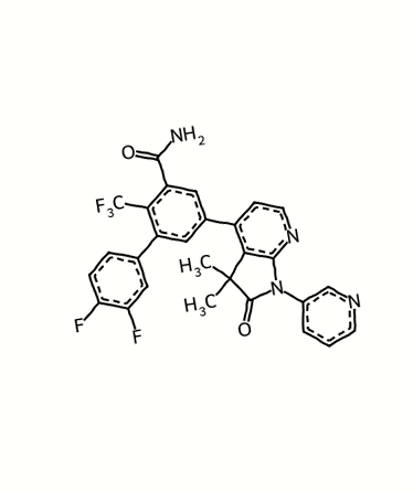 CC1(C)C(=O)N(c2cccnc2)c2nccc(-c3cc(C(N)=O)c(C(F)(F)F)c(-c4ccc(F)c(F)c4)c3)c21